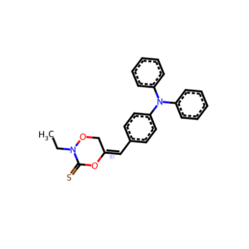 CCN1OC/C(=C\c2ccc(N(c3ccccc3)c3ccccc3)cc2)OC1=S